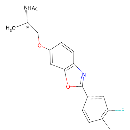 COc1ccc(-c2nc3ccc(OC[C@H](C)NC(C)=O)cc3o2)cc1F